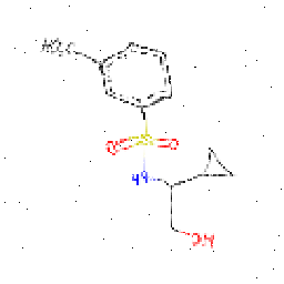 O=C(O)c1cccc(S(=O)(=O)NC(CO)C2CC2)c1